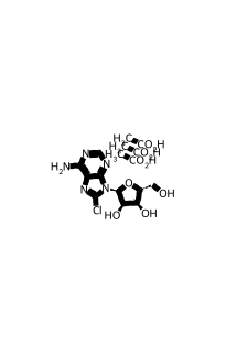 CC(=O)O.CC(=O)O.CC(=O)O.Nc1ncnc2c1nc(Cl)n2[C@@H]1O[C@H](CO)[C@@H](O)[C@H]1O